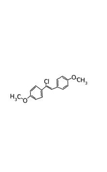 COc1ccc(/C=C(\Cl)c2ccc(OC)cc2)cc1